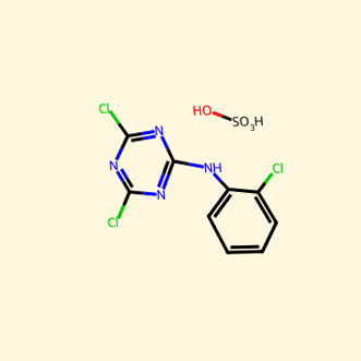 Clc1nc(Cl)nc(Nc2ccccc2Cl)n1.O=S(=O)(O)O